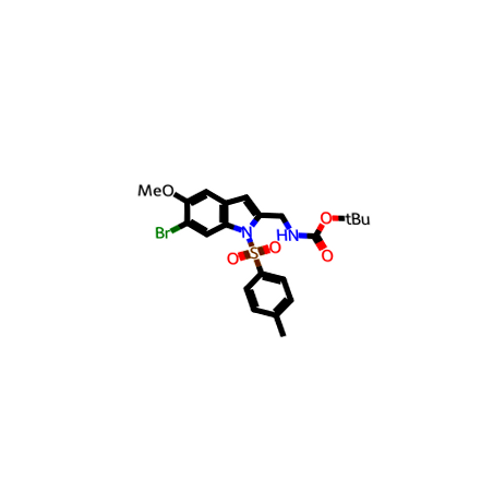 COc1cc2cc(CNC(=O)OC(C)(C)C)n(S(=O)(=O)c3ccc(C)cc3)c2cc1Br